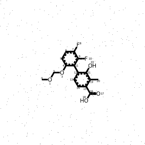 COCOc1ccc(F)c(F)c1-c1ccc(C(=O)O)c(C)c1O